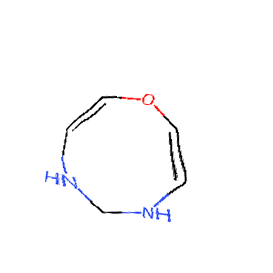 C1=C\O/C=C\NCN/1